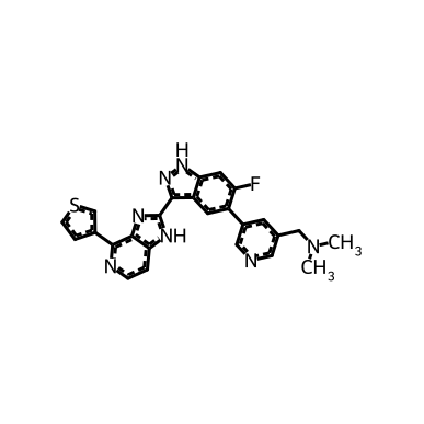 CN(C)Cc1cncc(-c2cc3c(-c4nc5c(-c6ccsc6)nccc5[nH]4)n[nH]c3cc2F)c1